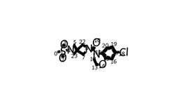 CS(=O)(=O)N1CC2(CN(C(=O)N3CCOc4cc(Cl)ccc43)C2)C1